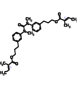 C/C=C(\C)C(=O)OCCCc1cccc(N(C)C(=O)N(C)c2cccc(CCCOC(=O)/C(C)=C/C)c2)c1